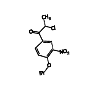 CC(C)Oc1ccc(C(=O)C(C)Cl)cc1[N+](=O)[O-]